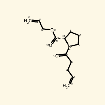 C=CCCC(=O)N1CCC[C@H]1C(=O)OCC=C